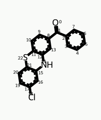 O=C(c1ccccc1)c1ccc2c(c1)Nc1cc(Cl)ccc1S2